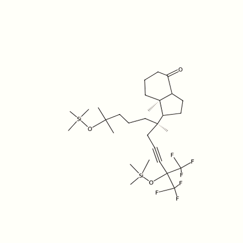 CC(C)(CCC[C@](C)(CC#CC(O[Si](C)(C)C)(C(F)(F)F)C(F)(F)F)C1CCC2C(=O)CCC[C@@]21C)O[Si](C)(C)C